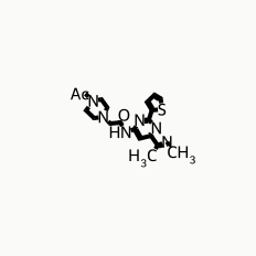 C/N=C(\C)c1cc(NC(=O)CN2CCN(C(C)=O)CC2)nc(-c2cccs2)n1